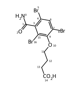 NC(=O)c1c(Br)cc(Br)c(OCCCC(=O)O)c1Br